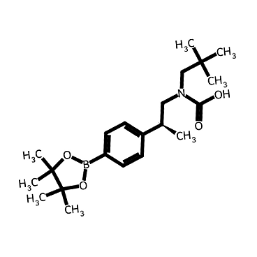 C[C@H](CN(CC(C)(C)C)C(=O)O)c1ccc(B2OC(C)(C)C(C)(C)O2)cc1